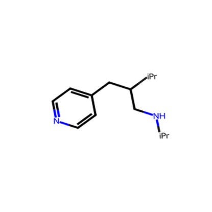 CC(C)NCC(Cc1ccncc1)C(C)C